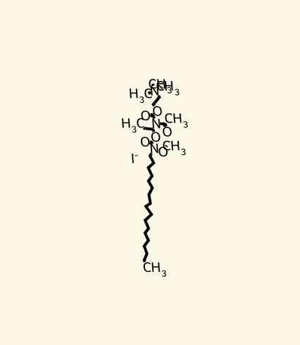 CCCCCCCCCCCCCCCCCCN(OC)C(=O)OC(CC)N(C(C)=O)C(=O)OCC[N+](C)(C)C.[I-]